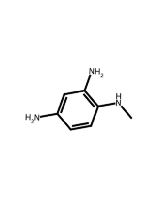 CNc1ccc(N)cc1N